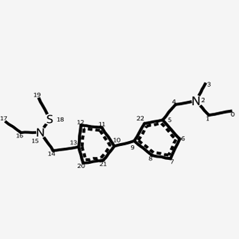 CCN(C)Cc1cccc(-c2ccc(CN(CC)SC)cc2)c1